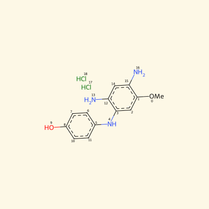 COc1cc(Nc2ccc(O)cc2)c(N)cc1N.Cl.Cl